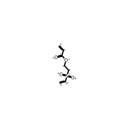 C=CC(=O)OCCS(=O)(=O)C=C